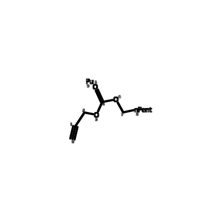 C#CCOC(=O)OCCCCCC.[Pu]